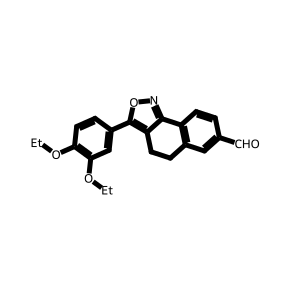 CCOc1ccc(-c2onc3c2CCc2cc(C=O)ccc2-3)cc1OCC